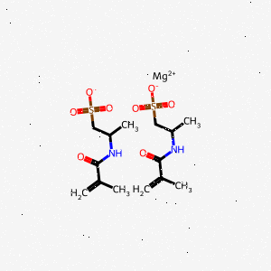 C=C(C)C(=O)NC(C)CS(=O)(=O)[O-].C=C(C)C(=O)NC(C)CS(=O)(=O)[O-].[Mg+2]